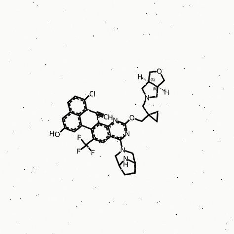 C#Cc1c(Cl)ccc2cc(O)cc(-c3c(C(F)(F)F)cc4c(N5CC6CCC(C5)N6)nc(OCC5(CN6C[C@H]7COC[C@H]7C6)CC5)nc4c3F)c12